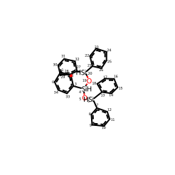 c1ccc([SiH](O[SiH](c2ccccc2)c2ccccc2)O[SiH](c2ccccc2)c2ccccc2)cc1